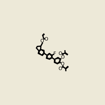 C=CC(=O)OCC1CCc2ccc(-c3ccc(-c4ccc(OC(=O)C(=C)C)c(OC(=O)C(=C)C)c4)c(F)c3)cc21